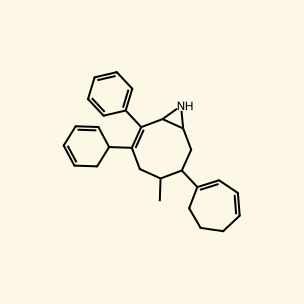 CC1C/C(C2C=CC=CC2)=C(/c2ccccc2)C2NC2CC1C1=CC=CCCC1